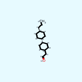 CCC[C@H]1CC[C@H](C2CCC(CC=O)CC2)CC1